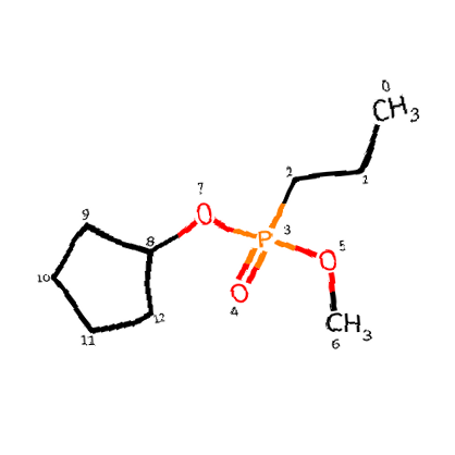 CCCP(=O)(OC)OC1CCCC1